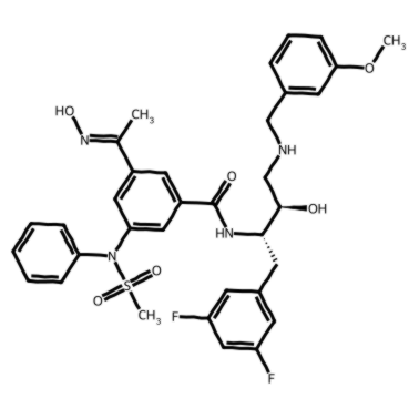 COc1cccc(CNC[C@@H](O)[C@H](Cc2cc(F)cc(F)c2)NC(=O)c2cc(/C(C)=N/O)cc(N(c3ccccc3)S(C)(=O)=O)c2)c1